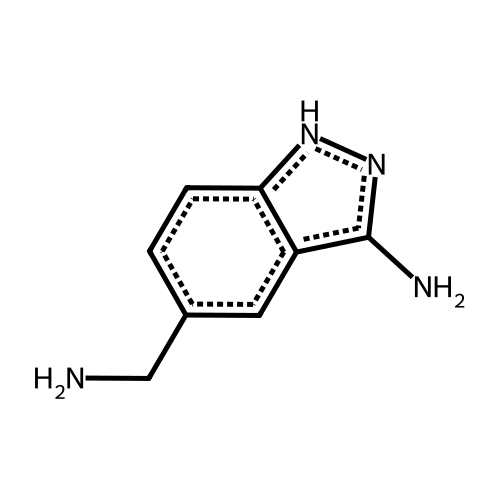 NCc1ccc2[nH]nc(N)c2c1